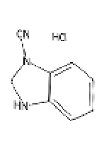 Cl.N#CN1CNc2ccccc21